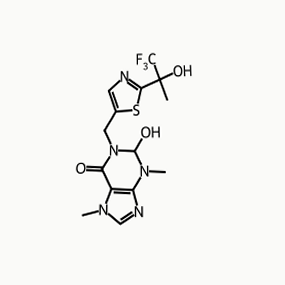 CN1c2ncn(C)c2C(=O)N(Cc2cnc(C(C)(O)C(F)(F)F)s2)C1O